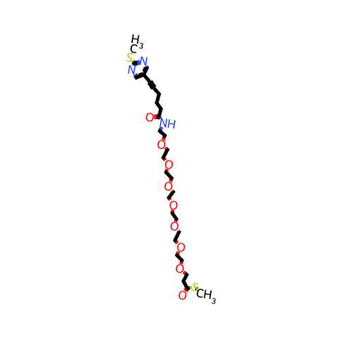 CSC(=O)CCOCCOCCOCCOCCOCCOCCOCCNC(=O)CCCC#Cc1cnc(SC)nc1